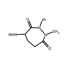 CNC1CCC(=O)N(C)N(C(C)C)C1=O